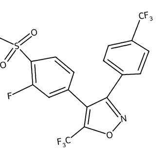 CS(=O)(=O)c1ccc(-c2c(-c3ccc(C(F)(F)F)cc3)noc2C(F)(F)F)cc1F